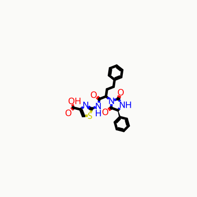 O=C(O)c1csc(NC(=O)C(CCc2ccccc2)N2C(=O)N[C@@H](c3ccccc3)C2=O)n1